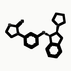 O=C1OCCN1c1cccc(O[C@H]2c3ccccc3C[C@@H]2N2CCCC2)c1